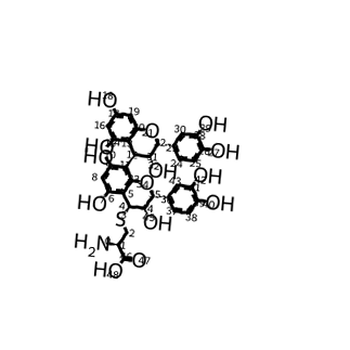 N[C@@H](CS[C@H]1c2c(O)cc(O)c([C@H]3c4c(O)cc(O)cc4O[C@H](c4ccc(O)c(O)c4)[C@@H]3O)c2O[C@H](c2ccc(O)c(O)c2)[C@@H]1O)C(=O)O